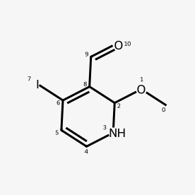 COC1NC=CC(I)=C1C=O